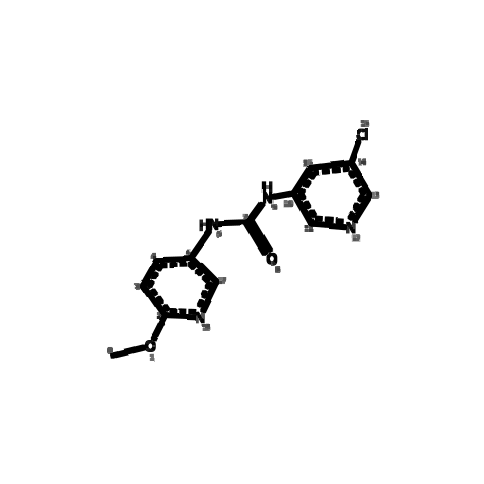 COc1ccc(NC(=O)Nc2cncc(Cl)c2)cn1